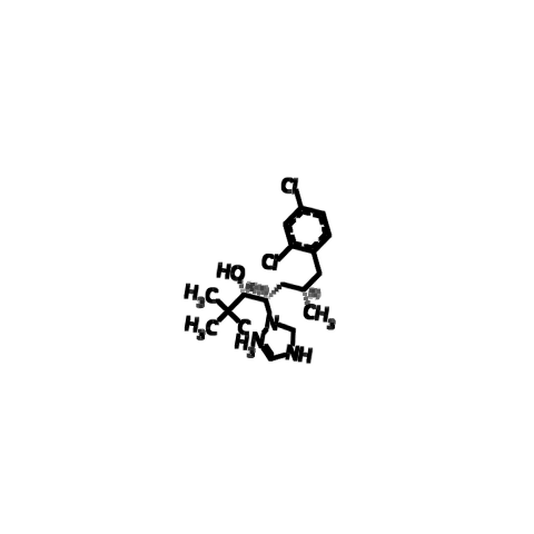 C[C@@H](Cc1ccc(Cl)cc1Cl)C[C@@H]([C@@H](O)C(C)(C)C)N1CNC=N1